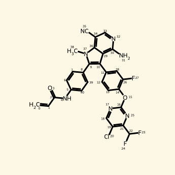 C=CC(=O)Nc1ccc(-c2c(-c3ccc(Oc4ncc(Cl)c(C(F)F)n4)c(F)c3)c3c(N)ncc(C#N)c3n2C)cc1